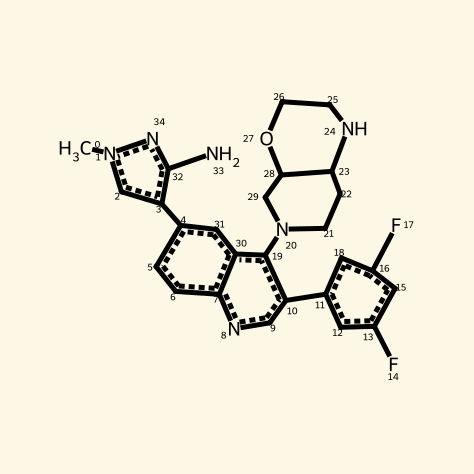 Cn1cc(-c2ccc3ncc(-c4cc(F)cc(F)c4)c(N4CCC5NCCOC5C4)c3c2)c(N)n1